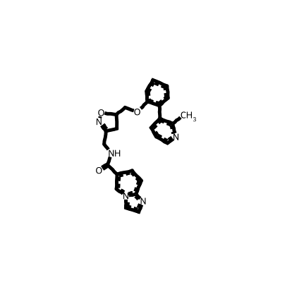 Cc1ncccc1-c1ccccc1OCC1CC(CNC(=O)c2ccc3nccn3c2)=NO1